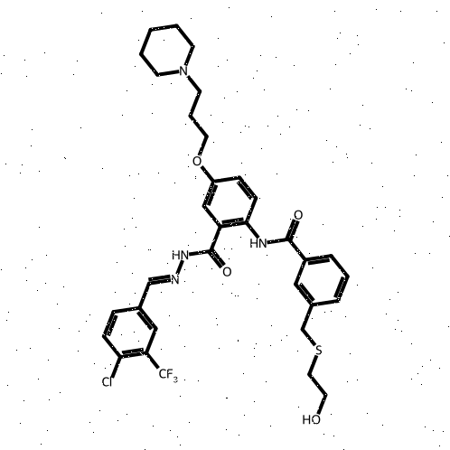 O=C(Nc1ccc(OCCCN2CCCCC2)cc1C(=O)NN=Cc1ccc(Cl)c(C(F)(F)F)c1)c1cccc(CSCCO)c1